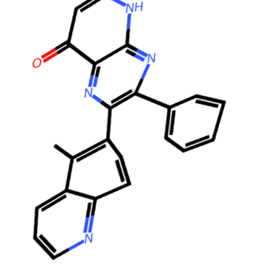 Cc1c(-c2nc3c(=O)cc[nH]c3nc2-c2ccccc2)ccc2ncccc12